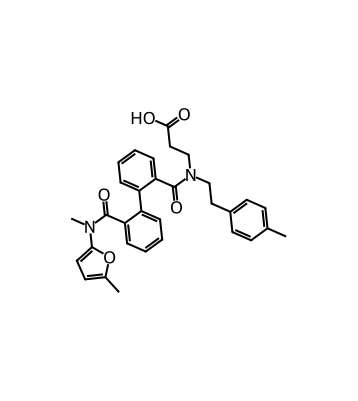 Cc1ccc(CCN(CCC(=O)O)C(=O)c2ccccc2-c2ccccc2C(=O)N(C)c2ccc(C)o2)cc1